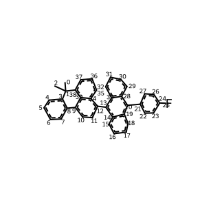 CC1(C)c2ccccc2-c2ccc(-c3c4ccccc4c(-c4ccc(F)cc4)c4ccccc34)c3cccc1c23